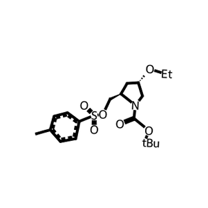 CCO[C@H]1C[C@H](COS(=O)(=O)c2ccc(C)cc2)N(C(=O)OC(C)(C)C)C1